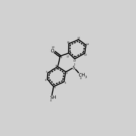 CSc1cc(S)ccc1C(=O)c1ccccc1